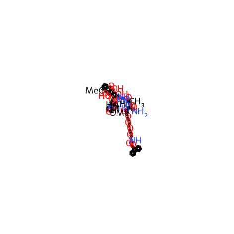 COc1cccc2c1C(=O)c1c(O)c3c(c(O)c1C2=O)C[C@@](O)(C(=O)NCCNC(=O)[C@H](C)NC(=O)[C@H](CC(N)=O)NC(=O)CCOCCOCCOCCOCCNC(=O)OCC1c2ccccc2-c2ccccc21)C[C@@H]3O[C@H]1C[C@H]2[C@H](O[C@@H]3[C@@H](OC)OCCN32)[C@H](C)O1